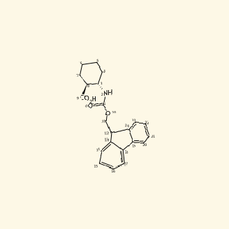 O=C(N[C@H]1CCCC[C@@H]1C(=O)O)OCC1c2ccccc2-c2ccccc21